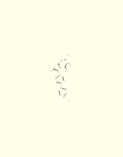 N#Cc1ccc(-c2ccc(-c3c(Br)sc4[nH]c(=O)c(C#N)c(O)c34)cc2)cc1